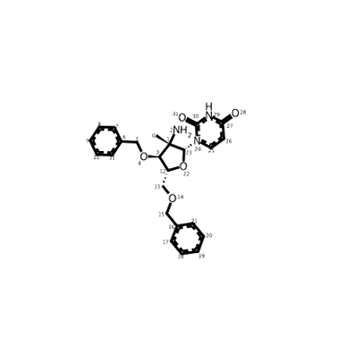 C[C@]1(N)[C@H](OCc2ccccc2)[C@@H](COCc2ccccc2)O[C@H]1n1ccc(=O)[nH]c1=O